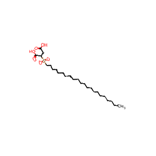 CCCCCCCCCCCCCCCCCCCCCCS(=O)(=O)C(CC(=O)O)C(=O)O